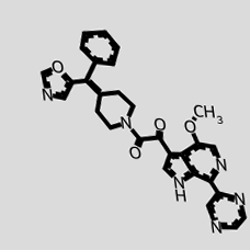 COc1cnc(-c2cnccn2)c2[nH]cc(C(=O)C(=O)N3CCC(=C(c4ccccc4)c4cnco4)CC3)c12